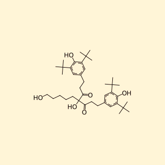 CC(C)(C)c1cc(CCC(=O)C(O)(CCCCCO)C(=O)CCc2cc(C(C)(C)C)c(O)c(C(C)(C)C)c2)cc(C(C)(C)C)c1O